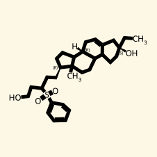 CC[C@]1(O)CCC2C(=CC[C@@H]3C2CCC2(C)C3CC[C@@H]2CCC(CCO)S(=O)(=O)c2ccccc2)C1